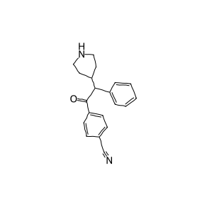 N#Cc1ccc(C(=O)C(c2ccccc2)C2CCNCC2)cc1